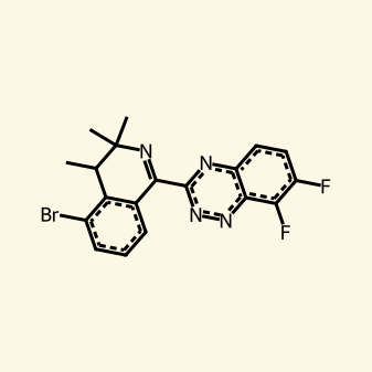 CC1c2c(Br)cccc2C(c2nnc3c(F)c(F)ccc3n2)=NC1(C)C